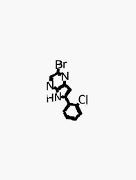 Clc1ccccc1-c1cc2nc(Br)cnc2[nH]1